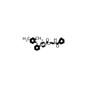 Cc1ccc(Sc2ccccc2N2CCN(C(=O)OCCNC(=O)c3ccccc3)CC2)c(C)c1